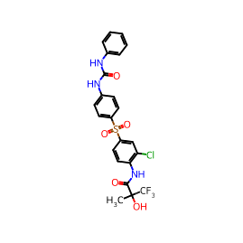 CC(O)(C(=O)Nc1ccc(S(=O)(=O)c2ccc(NC(=O)Nc3ccccc3)cc2)cc1Cl)C(F)(F)F